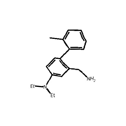 CCN(CC)c1ccc(-c2ccccc2C)c(CN)c1